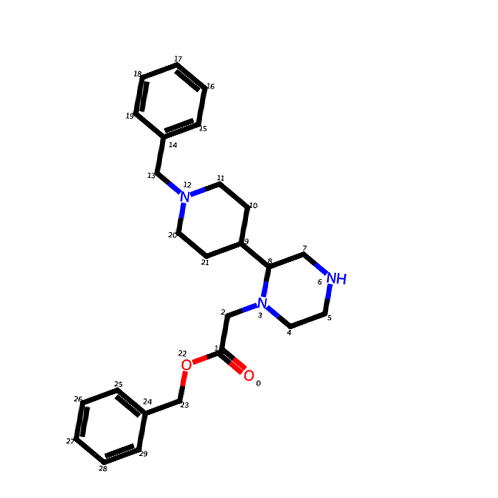 O=C(CN1[CH]CNCC1C1CCN(Cc2ccccc2)CC1)OCc1ccccc1